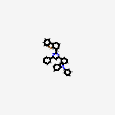 c1ccc(-c2cc(-c3cccc4c3c3ccccc3n4-c3ccccc3)nc(-c3cccc4c3sc3ccccc34)n2)cc1